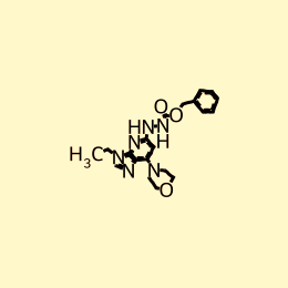 CCn1cnc2c(N3CCOCC3)cc(NNC(=O)OCc3ccccc3)nc21